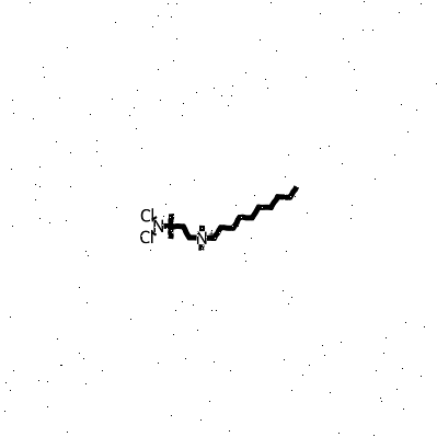 CCCCCCCCCC[N+](C)(C)CCC(C)(C)N(Cl)Cl